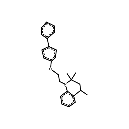 CC1CC(C)(C)N(CCOc2ccc(-c3ccccc3)cc2)c2ccccc21